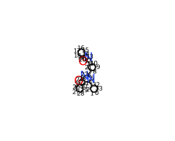 c1ccc(-c2nc(-c3cccc(-c4nc5ccccc5o4)c3)nc3oc4ccccc4c23)cc1